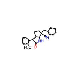 Cc1ccccc1C1=C2CCC(C#N)(Cc3ccccc3)C2NC1=O